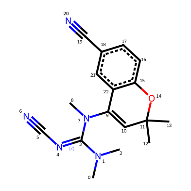 CN(C)/C(=N/C#N)N(C)C1=CC(C)(C)Oc2ccc(C#N)cc21